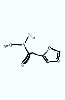 CON(C)C(=O)c1cnco1